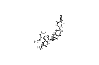 C#Cc1ccccc1-c1nc(C)ncc1C(=O)Nc1nc2ncc(-c3ccc(C#N)cc3)nc2s1